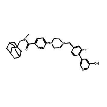 CN(CC12CC3CC(CC(C3)C1)C2)C(=O)c1ccc(N2CCN(Cc3ccc(-c4cncc(O)c4)c(F)c3)CC2)cc1